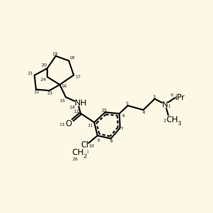 CC(C)N(C)CCCc1ccc(Cl)c(C(=O)NCC23CCCC(CCC2)C3)c1.[CH2]